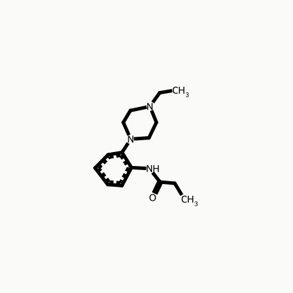 CCC(=O)Nc1ccccc1N1CCN(CC)CC1